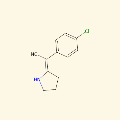 N#C/C(=C1/CCCN1)c1ccc(Cl)cc1